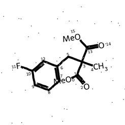 COC(=O)C(C)(Cc1cccc(F)c1)C(=O)OC